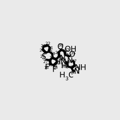 Cc1n[nH]c2c1C[C@H]1Nn3c(-c4cc(F)c(F)c5c4Cc4ccccc4SC5)cc(=O)c(O)c3C(=O)N1C2